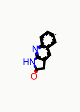 O=C1Cc2cc3c[c]ccc3nc2N1